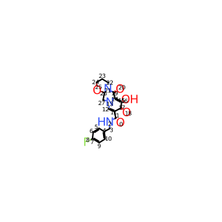 O=C(NCc1ccc(F)cc1)c1cn2c(c(O)c1=O)C(=O)N1CCCOC1C2